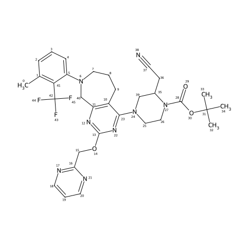 Cc1cccc(N2CCCc3c(nc(OCc4ncccn4)nc3N3CCN(C(=O)OC(C)(C)C)C(CC#N)C3)C2)c1C(F)(F)F